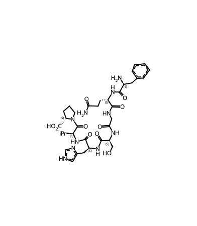 CC(C)[C@H](NC(=O)[C@H](Cc1c[nH]cn1)NC(=O)[C@H](CO)NC(=O)CNC(=O)[C@H](CCC(N)=O)NC(=O)[C@@H](N)Cc1ccccc1)C(=O)N1CCC[C@H]1C(=O)O